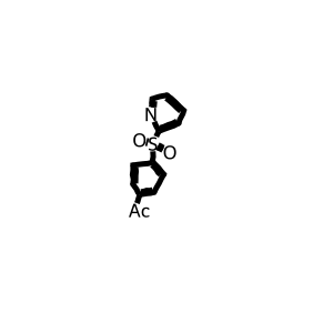 CC(=O)c1ccc(S(=O)(=O)c2ccccn2)cc1